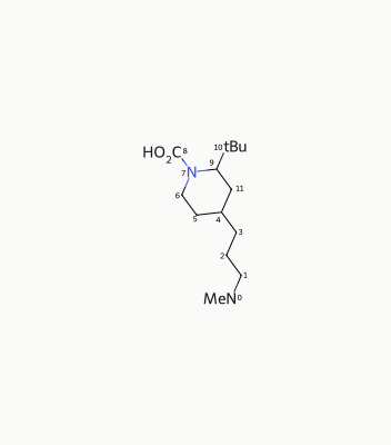 CNCCCC1CCN(C(=O)O)C(C(C)(C)C)C1